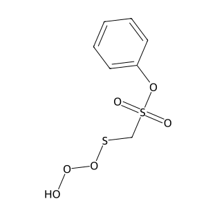 O=S(=O)(CSOOO)Oc1ccccc1